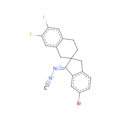 [C-]#[N+]/N=C1\c2cc(Br)ccc2CC12CCc1cc(F)c(F)cc1C2